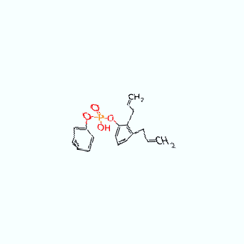 C=CCc1cccc(OP(=O)(O)Oc2ccccc2)c1CC=C